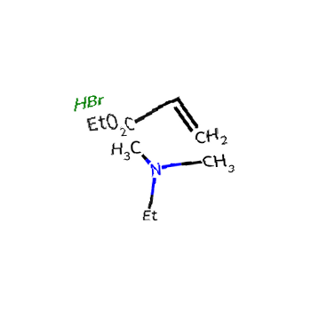 Br.C=CC(=O)OCC.CCN(C)C